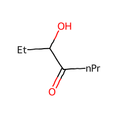 [CH2]CC(O)C(=O)CCC